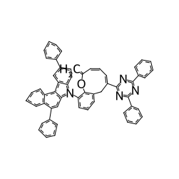 C=C1/C=C\C=C(\c2nc(-c3ccccc3)nc(-c3ccccc3)n2)Cc2cccc(-n3c4ccc(-c5ccccc5)cc4c4c5ccccc5c(-c5ccccc5)cc43)c2O1